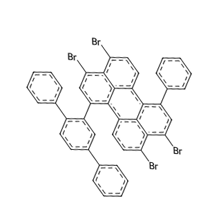 Brc1ccc2c3c(-c4cc(-c5ccccc5)ccc4-c4ccccc4)cc(Br)c4c(Br)ccc(c5c(-c6ccccc6)cc(Br)c1c25)c43